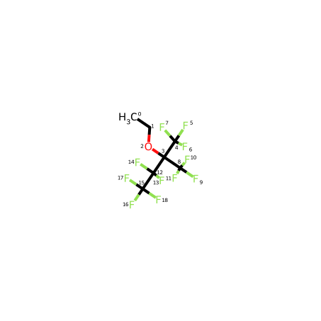 CCOC(C(F)(F)F)(C(F)(F)F)C(F)(F)C(F)(F)F